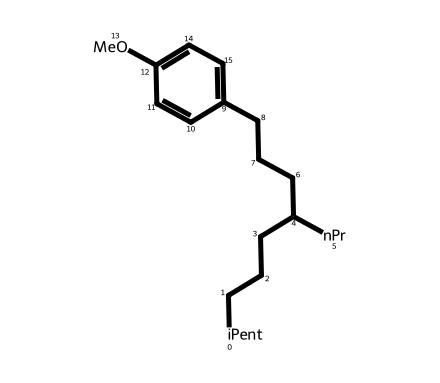 CCCC(C)CCCC(CCC)CCCc1ccc(OC)cc1